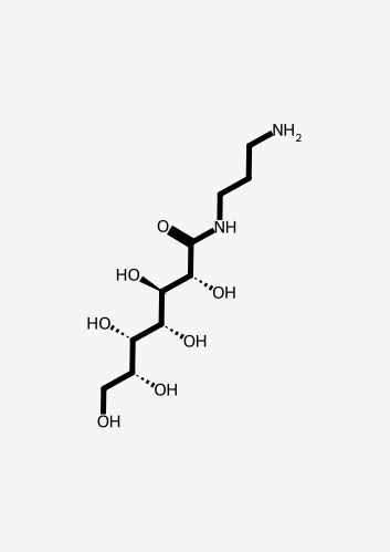 NCCCNC(=O)[C@H](O)[C@H](O)[C@H](O)[C@@H](O)[C@H](O)CO